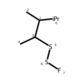 CC(C)C(C)C(C)SSF